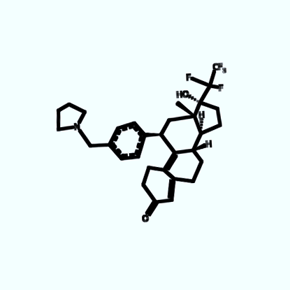 C[C@]12C[C@H](c3ccc(CN4CCCC4)cc3)C3=C4CCC(=O)C=C4CC[C@H]3[C@@H]1CC[C@]2(O)C(F)(F)C(F)(F)F